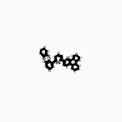 c1cc(-c2ccc3c4ccccc4c4ccccc4c3c2)nc(-c2cccc3c2Sc2ccccc2S3)c1